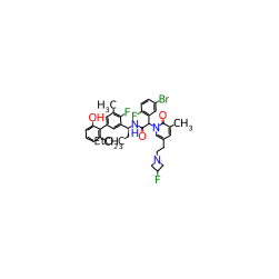 CCOC(=O)C[C@H](NC(=O)C(c1cc(Br)ccc1F)n1cc(CCN2CC(F)C2)cc(C)c1=O)c1cc(-c2c(C)cccc2O)cc(C)c1F